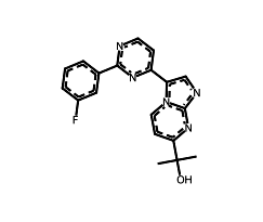 CC(C)(O)c1ccn2c(-c3ccnc(-c4cccc(F)c4)n3)cnc2n1